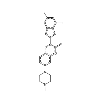 Cc1cc(F)c2nc(-c3cc4ccc(N5CCN(C)CC5)cc4oc3=O)cn2c1